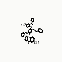 CC(c1ccccc1)c1cc(O)ccc1Oc1cc(CCc2ccccc2)c(Oc2ccc(O)cc2C(C)c2ccccc2)cc1CCc1ccccc1